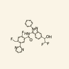 O=C(Nc1c2ccc(C(O)C(F)F)cc2nn1-c1ccccc1)c1cc(-c2ncccn2)c(CF)cc1F